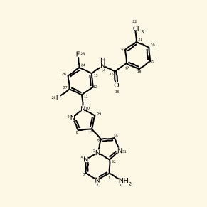 Nc1ncnn2c(-c3cnn(-c4cc(NC(=O)c5cccc(C(F)(F)F)c5)c(F)cc4F)c3)cnc12